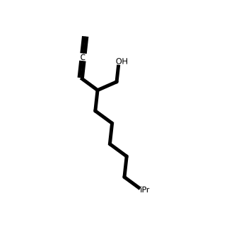 C=C=CC(CO)CCCCCC(C)C